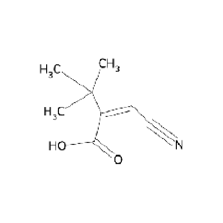 CC(C)(C)/C(=C/C#N)C(=O)O